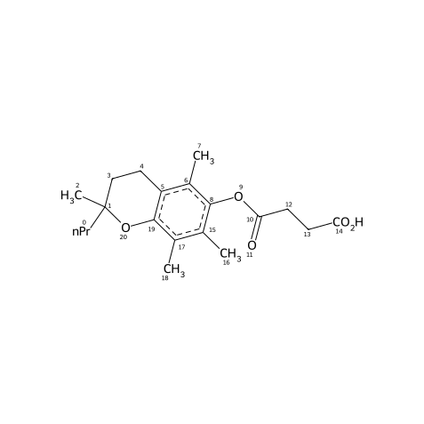 CCCC1(C)CCc2c(C)c(OC(=O)CCC(=O)O)c(C)c(C)c2O1